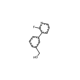 OCc1cccc(-c2cccnc2F)c1